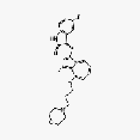 Cc1cc(C=C2C(=O)Nc3ccc(F)cc32)c2ccccc(OCCCN3CCOCC3)c1-2